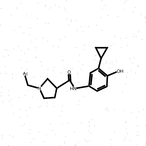 CC(=O)CN1CCC(C(=O)Nc2ccc(O)c(C3CC3)c2)C1